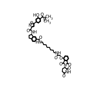 CN(C)C(=O)c1ccc(-c2cc(C(=O)N[C@@H]3CCc4ccc(C(=O)NCCCCCCCCNC(=O)COc5cccc6c5C(=O)N(C5CCC(=O)NC5=O)C6=O)cc43)no2)cc1O